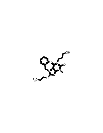 Cn1c(=O)n(CCCO)c(=O)c2c1nc(OCCC(F)(F)F)n2Cc1ccccc1